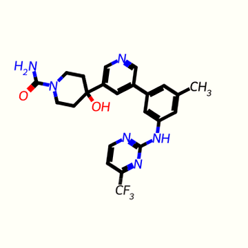 Cc1cc(Nc2nccc(C(F)(F)F)n2)cc(-c2cncc(C3(O)CCN(C(N)=O)CC3)c2)c1